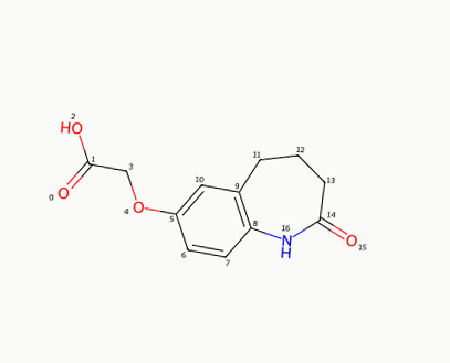 O=C(O)COc1ccc2c(c1)CCCC(=O)N2